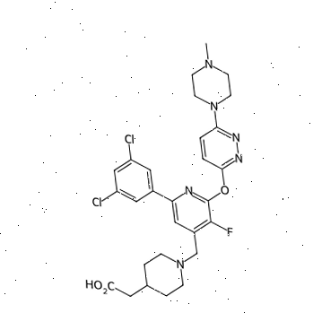 CN1CCN(c2ccc(Oc3nc(-c4cc(Cl)cc(Cl)c4)cc(CN4CCC(CC(=O)O)CC4)c3F)nn2)CC1